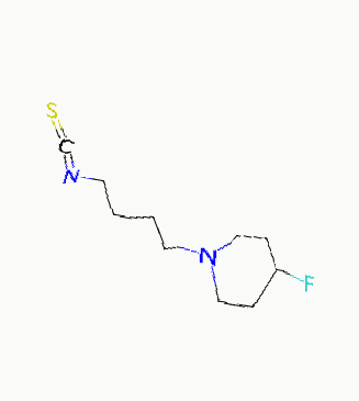 FC1CCN(CCCCN=C=S)CC1